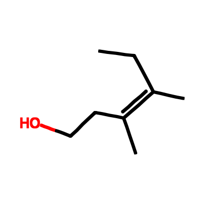 CCC(C)=C(C)CCO